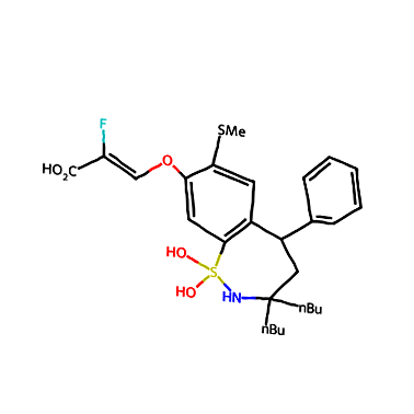 CCCCC1(CCCC)CC(c2ccccc2)c2cc(SC)c(O/C=C(\F)C(=O)O)cc2S(O)(O)N1